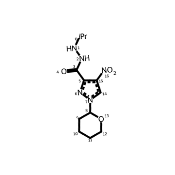 CC(C)NNC(=O)c1nn(C2CCCCO2)cc1[N+](=O)[O-]